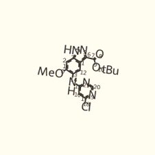 COc1cc2[nH]nc(C(=O)OC(C)(C)C)c2cc1Nc1cc(Cl)ncn1